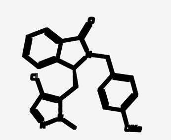 COc1ccc(CN2C(=O)c3ccccc3[C@@H]2Cc2c(Cl)cnn2C)cc1